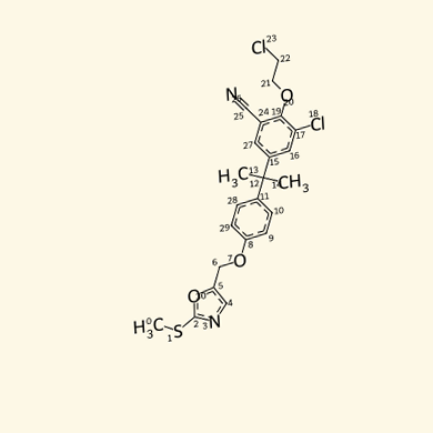 CSc1ncc(COc2ccc(C(C)(C)c3cc(Cl)c(OCCCl)c(C#N)c3)cc2)o1